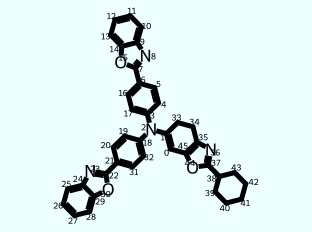 C1=C(N(c2ccc(-c3nc4ccccc4o3)cc2)c2ccc(-c3nc4ccccc4o3)cc2)CCc2nc(C3CCCCC3)oc21